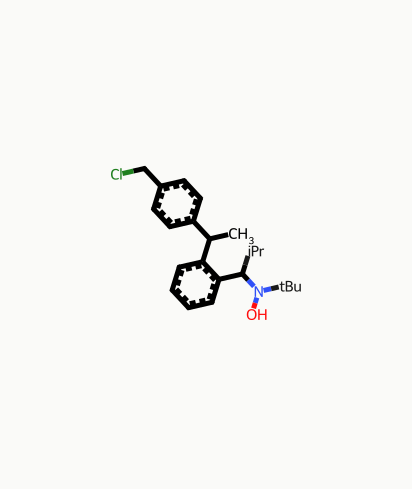 CC(c1ccc(CCl)cc1)c1ccccc1C(C(C)C)N(O)C(C)(C)C